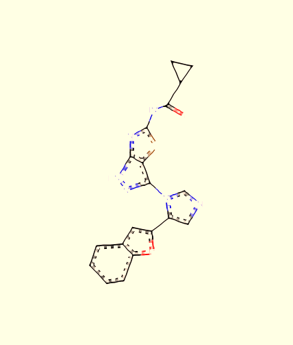 O=C(Nc1nc2[nH]nc(-n3cncc3-c3cc4ccccc4o3)c2s1)C1CC1